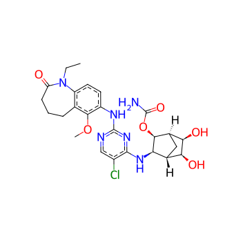 CCN1C(=O)CCCc2c1ccc(Nc1ncc(Cl)c(N[C@@H]3[C@@H]4C[C@H]([C@@H](O)[C@H]4O)[C@@H]3OC(N)=O)n1)c2OC